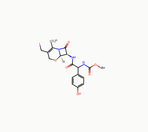 CC(C)(C)OC(=O)NC(C(=O)N[C@@H]1C(=O)N2C(C(=O)O)=C(CI)CS[C@H]12)c1ccc(O)cc1